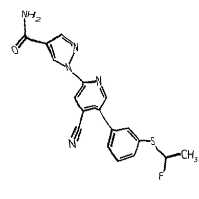 CC(F)Sc1cccc(-c2cnc(-n3cc(C(N)=O)cn3)cc2C#N)c1